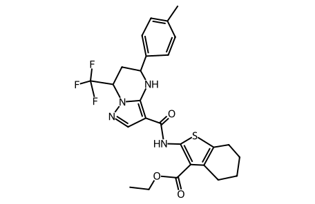 CCOC(=O)c1c(NC(=O)c2cnn3c2NC(c2ccc(C)cc2)CC3C(F)(F)F)sc2c1CCCC2